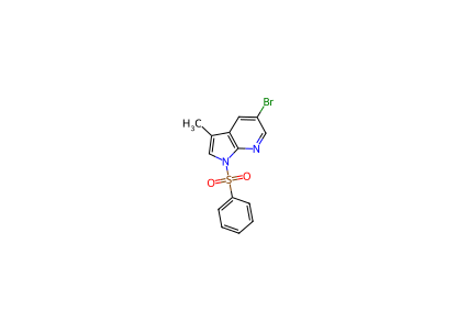 Cc1cn(S(=O)(=O)c2ccccc2)c2ncc(Br)cc12